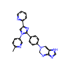 Cc1ccc(-n2cc(-c3ccccn3)nc2-c2ccc(N3C=c4[nH]cnc4=NC3)cc2)cn1